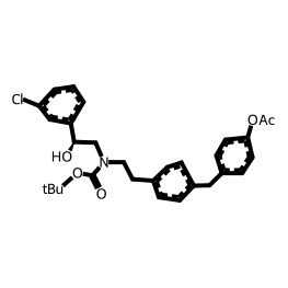 CC(=O)Oc1ccc(Cc2ccc(CCN(C[C@@H](O)c3cccc(Cl)c3)C(=O)OC(C)(C)C)cc2)cc1